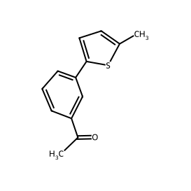 CC(=O)c1cccc(-c2ccc(C)s2)c1